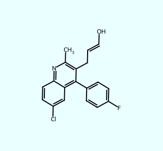 Cc1nc2ccc(Cl)cc2c(-c2ccc(F)cc2)c1CC=CO